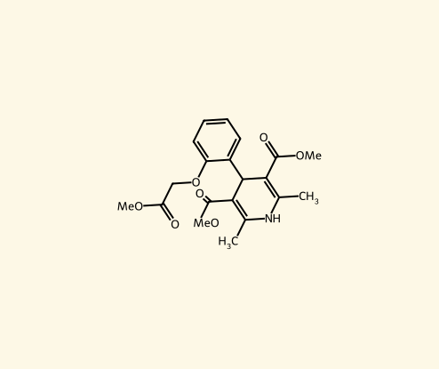 COC(=O)COc1ccccc1C1C(C(=O)OC)=C(C)NC(C)=C1C(=O)OC